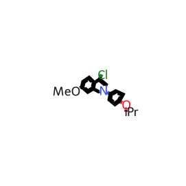 COc1ccc2c(c1)CN(c1ccc(OC(C)C)cc1)C=C2Cl